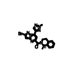 C[C@@H]1c2ccccc2CCN1C(=O)c1cc(-c2cnn(C)n2)n2nc(Br)cc2n1